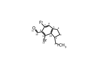 CCC1CCc2cc(F)c(C=O)c(Br)c21